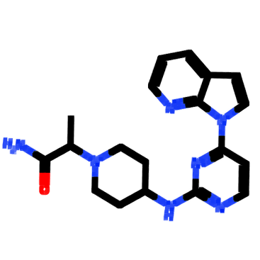 CC(C(N)=O)N1CCC(Nc2nccc(-n3ccc4cccnc43)n2)CC1